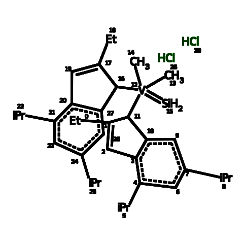 CCC1=Cc2c(C(C)C)cc(C(C)C)cc2[CH]1[V]([CH3])([CH3])(=[SiH2])[CH]1C(CC)=Cc2c(C(C)C)cc(C(C)C)cc21.Cl.Cl